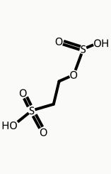 O=S(O)OCCS(=O)(=O)O